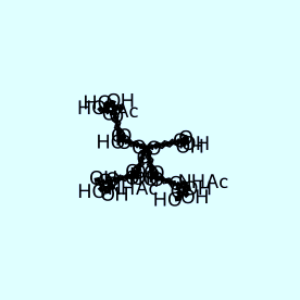 CC(=O)CC1C(OCCCCOP(=O)(O)OCCCOCC(CCCCCOP(=O)(O)OCCCCOC2OC(CO)C(O)C(O)C2NC(C)=O)(COCCCCCCOP(=O)(O)O)COCCCOP(=O)(O)OCCCCOC2OC(CO)C(O)C(O)C2NC(C)=O)OC(CO)C(O)C1O